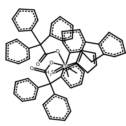 [CH3][Ti]([CH3])(=[SiH2])([O]C(=O)C(c1ccccc1)(c1ccccc1)c1ccccc1)([O]C(=O)C(c1ccccc1)(c1ccccc1)c1ccccc1)([C]1=CC=CC1)[c]1cccc2c1Cc1ccccc1-2